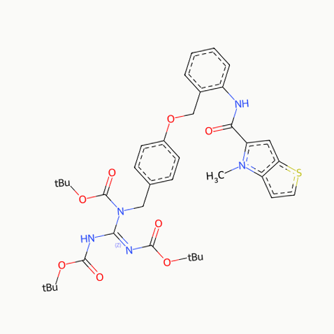 Cn1c(C(=O)Nc2ccccc2COc2ccc(CN(C(=O)OC(C)(C)C)/C(=N\C(=O)OC(C)(C)C)NC(=O)OC(C)(C)C)cc2)cc2sccc21